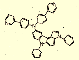 c1ccc(-n2ccc3c4c5cc(N(c6ccc(-c7ccncc7)cc6)c6ccc(-c7cccnc7)cc6)ccc5n(-c5ccccc5)c4ccc32)cc1